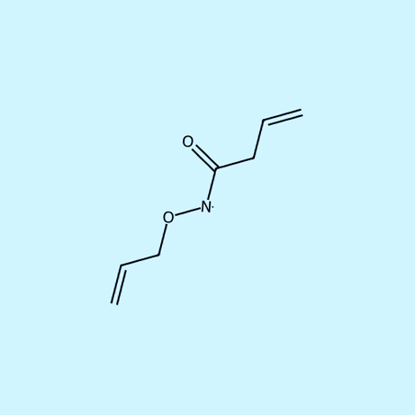 C=CCO[N]C(=O)CC=C